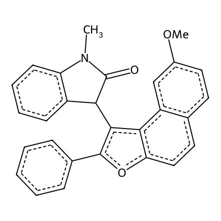 COc1ccc2ccc3oc(-c4ccccc4)c(C4C(=O)N(C)c5ccccc54)c3c2c1